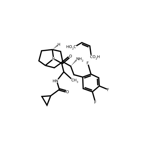 CC(NC(=O)C1CC1)C(=O)N1C2CC[C@H]1CC([C@H](N)Cc1cc(F)c(F)cc1F)C2.O=C(O)/C=C\C(=O)O